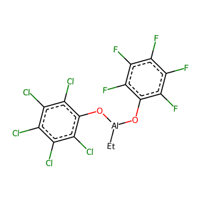 C[CH2][Al]([O]c1c(F)c(F)c(F)c(F)c1F)[O]c1c(Cl)c(Cl)c(Cl)c(Cl)c1Cl